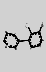 Clc1c(Br)cccc1-c1cccnc1